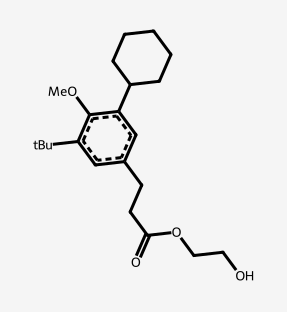 COc1c(C2CCCCC2)cc(CCC(=O)OCCO)cc1C(C)(C)C